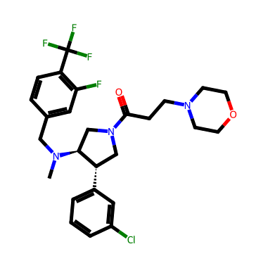 CN(Cc1ccc(C(F)(F)F)c(F)c1)[C@H]1CN(C(=O)CCN2CCOCC2)C[C@@H]1c1cccc(Cl)c1